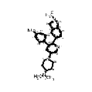 CN(C)C1CCN(c2cnc(-c3ccc4nn(C)cc4c3)c(-c3ccc(C#N)cc3)c2)CC1